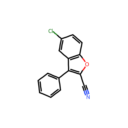 N#Cc1oc2ccc(Cl)cc2c1-c1ccccc1